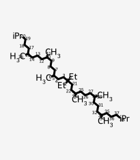 CCC(CC)(CCC(C)CCCC(C)CCCC(C)CCCC(C)C)CCC(C)CCCC(C)CCCC(C)CCCC(C)C